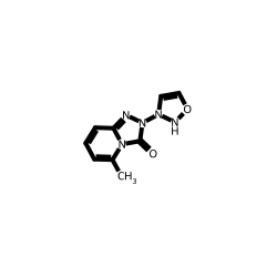 Cc1cccc2nn(N3C=CON3)c(=O)n12